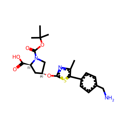 Cc1nc(O[C@@H]2C[C@@H](C(=O)O)N(C(=O)OC(C)(C)C)C2)sc1-c1ccc(CN)cc1